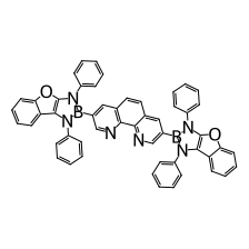 c1ccc(N2B(c3cnc4c(ccc5cc(B6N(c7ccccc7)c7oc8ccccc8c7N6c6ccccc6)cnc54)c3)N(c3ccccc3)c3c2oc2ccccc32)cc1